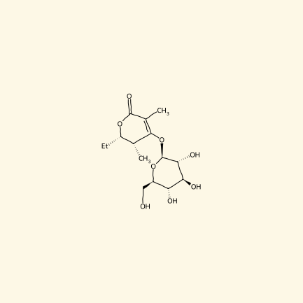 CC[C@@H]1OC(=O)C(C)=C(O[C@@H]2O[C@H](CO)[C@@H](O)[C@H](O)[C@H]2O)[C@@H]1C